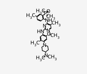 COc1cc(N2CCC(N(C)C)CC2)c(C)cc1Nc1ncc(C)c(Nc2ccc(C)cc2P(C)(C)=O)n1